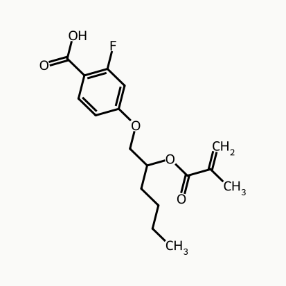 C=C(C)C(=O)OC(CCCC)COc1ccc(C(=O)O)c(F)c1